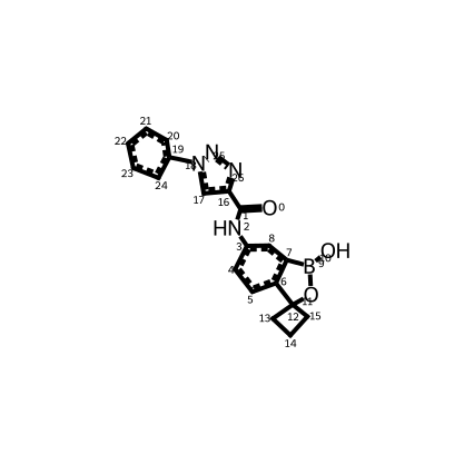 O=C(Nc1ccc2c(c1)B(O)OC21CCC1)c1cn(-c2ccccc2)nn1